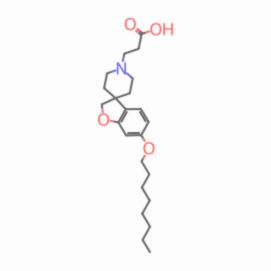 CCCCCCCCOc1ccc2c(c1)OCC21CCN(CCC(=O)O)CC1